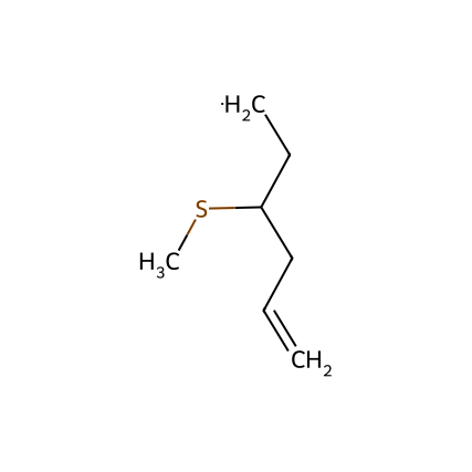 [CH2]CC(CC=C)SC